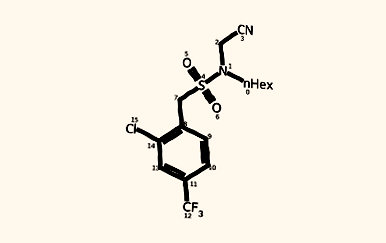 CCCCCCN(CC#N)S(=O)(=O)Cc1ccc(C(F)(F)F)cc1Cl